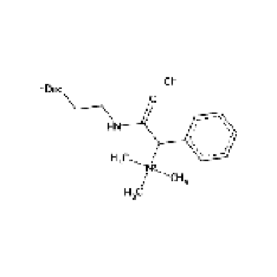 CCCCCCCCCCCCNC(=O)C(c1ccccc1)[N+](C)(C)C.[Cl-]